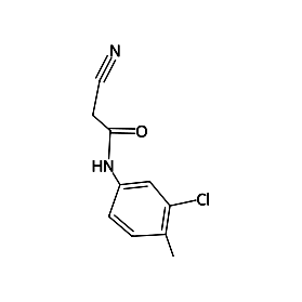 Cc1ccc(NC(=O)CC#N)cc1Cl